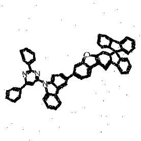 c1ccc(-c2cc(-n3c4ccccc4c4cc(-c5ccc6c(c5)oc5cc7c(cc56)-c5ccccc5C75c6ccccc6-c6ccccc65)ccc43)nc(-c3ccccc3)n2)cc1